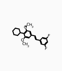 COc1cc(C=Cc2cc(F)cc(F)c2)cc(OC)c1C1CCCCC1